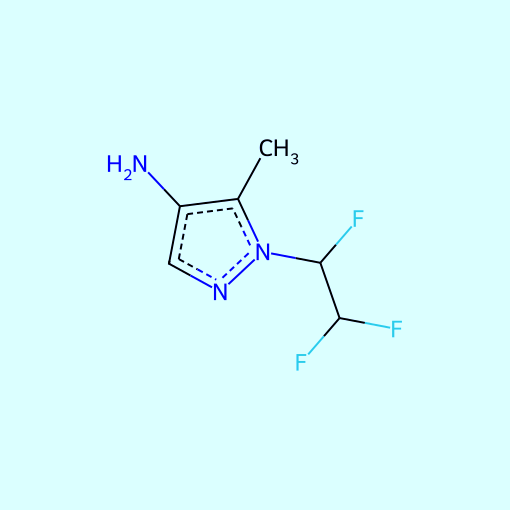 Cc1c(N)cnn1C(F)C(F)F